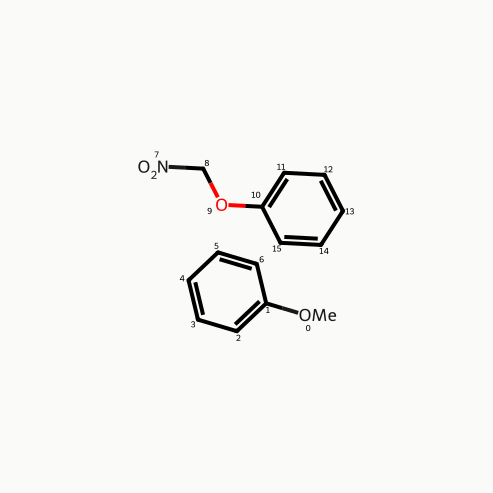 COc1ccccc1.O=[N+]([O-])COc1ccccc1